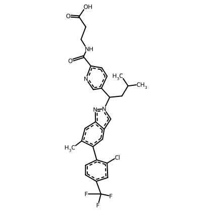 Cc1cc2nn(C(CC(C)C)c3ccc(C(=O)NCCC(=O)O)nc3)cc2cc1-c1ccc(C(F)(F)F)cc1Cl